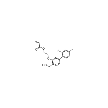 C=CC(=O)OCCOc1cc(-c2ccc(C)cc2F)ccc1CO